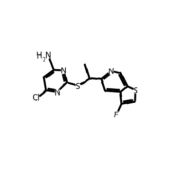 CC(Sc1nc(N)cc(Cl)n1)c1cc2c(F)csc2cn1